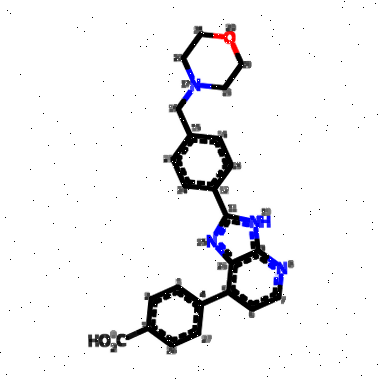 O=C(O)c1ccc(-c2ccnc3[nH]c(-c4ccc(CN5CCOCC5)cc4)nc23)cc1